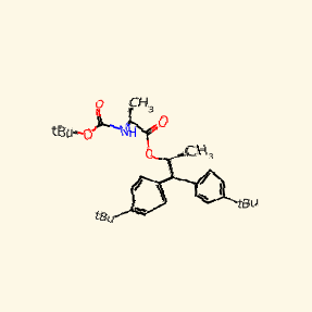 C[C@H](NC(=O)OC(C)(C)C)C(=O)O[C@@H](C)C(c1ccc(C(C)(C)C)cc1)c1ccc(C(C)(C)C)cc1